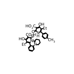 CCc1c(-c2ccc(C)cc2)[nH]c(=O)c(C(=O)O)c1O.CCc1c(-c2ccccc2N2CCCCC2)[nH]c(=O)c(C(=O)O)c1O